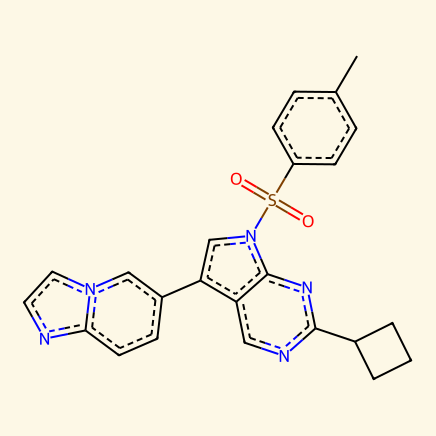 Cc1ccc(S(=O)(=O)n2cc(-c3ccc4nccn4c3)c3cnc(C4CCC4)nc32)cc1